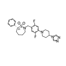 O=S1(=O)[C@@H](c2ccccc2)CCCCN1Cc1cc(F)c(N2CCC(n3cnnc3)CC2)cc1F